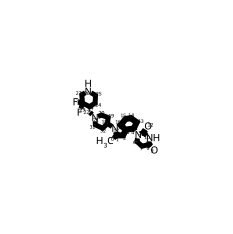 Cc1cc2c(N3CCC(=O)NC3=O)cccc2n1C1CCN(C[C@H]2CCNCC2(F)F)CC1